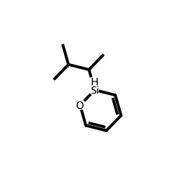 C[C](C)C(C)[SiH]1C=CC=CO1